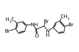 Cc1cc(NC(=O)C(Br)Nc2ccc(Br)c(C)c2)ccc1Br